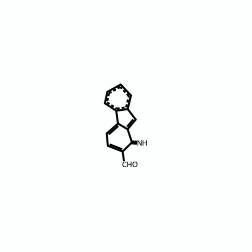 N=C1C(C=O)=CC=C2C1=Cc1ccccc12